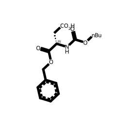 CCCCOC(=O)N[C@@H](CC(=O)O)C(=O)OCc1ccccc1